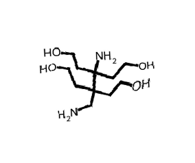 NCC(CCO)(CCO)C(N)(CCO)CCO